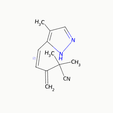 C=C(/C=C\c1[nH]ncc1C)C(C)(C)C#N